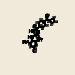 CC(C)c1cc(Cl)cc(C(C)C)c1NC(=O)NS(=O)(=O)C1CCN(C(=O)C2CCC2)CC1